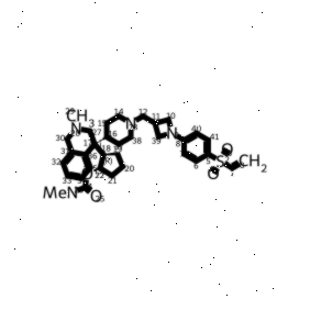 C=CS(=O)(=O)c1ccc(N2CC(CN3CCC([C@@]4([C@H]5CCC[C@@H]5OC(=O)NC)CN(C)Cc5ccccc54)CC3)C2)cc1